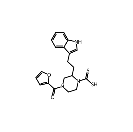 O=C(c1ccco1)N1CCN(C(=S)S)C(CCc2c[nH]c3ccccc23)C1